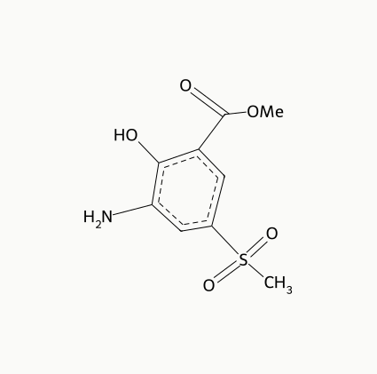 COC(=O)c1cc(S(C)(=O)=O)cc(N)c1O